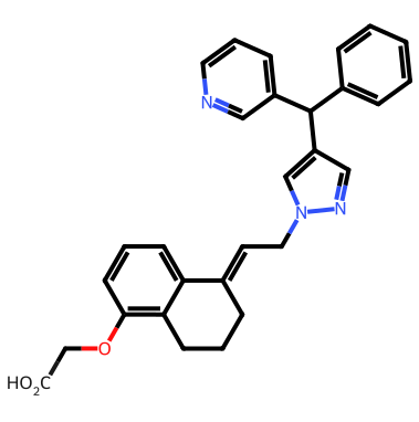 O=C(O)COc1cccc2c1CCCC2=CCn1cc(C(c2ccccc2)c2cccnc2)cn1